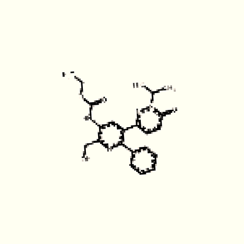 CCOC(=O)Nc1cc(-c2ccc(=O)n(C(C)C)n2)c(-c2ccccc2)nc1CO